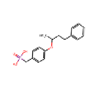 O=C(O)C(CCc1ccccc1)Oc1ccc(CP(=O)(O)O)cc1